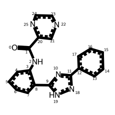 O=C(Nc1ccccc1-c1nc(-c2ccccc2)n[nH]1)c1cnccn1